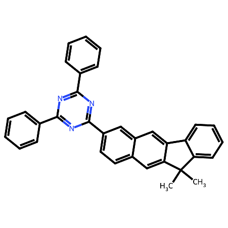 CC1(C)c2ccccc2-c2cc3cc(-c4nc(-c5ccccc5)nc(-c5ccccc5)n4)ccc3cc21